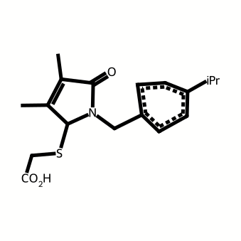 CC1=C(C)C(SCC(=O)O)N(Cc2ccc(C(C)C)cc2)C1=O